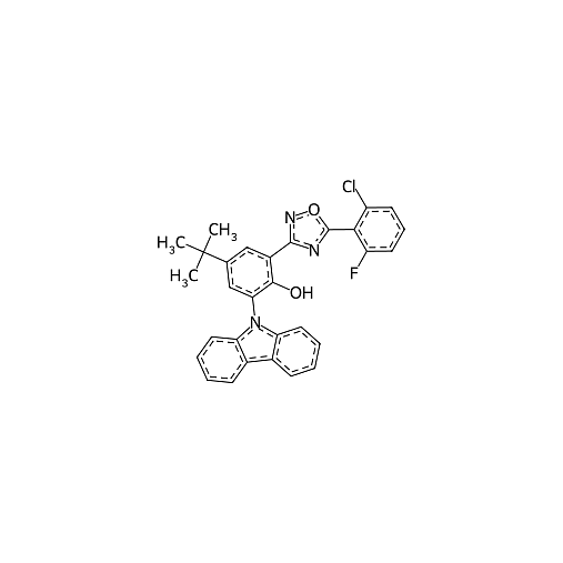 CC(C)(C)c1cc(-c2noc(-c3c(F)cccc3Cl)n2)c(O)c(-n2c3ccccc3c3ccccc32)c1